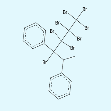 CC(c1ccccc1)C(Br)(c1ccccc1)C(Br)(Br)C(Br)(Br)C(Br)(Br)Br